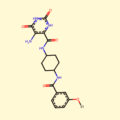 CCOc1cccc(C(=O)NC2CCC(NC(=O)c3[nH]c(=O)[nH]c(=O)c3N)CC2)c1